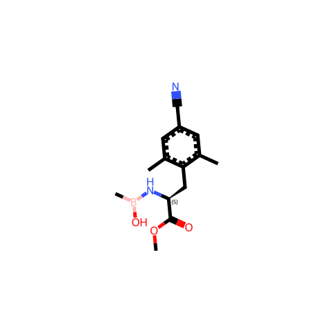 COC(=O)[C@H](Cc1c(C)cc(C#N)cc1C)NB(C)O